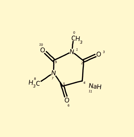 CN1C(=O)CC(=O)N(C)C1=O.[NaH]